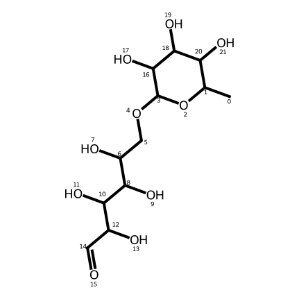 CC1OC(OCC(O)C(O)C(O)C(O)C=O)C(O)C(O)C1O